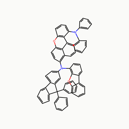 c1ccc(N(c2ccccc2)c2cccc3c2-c2cccc4c(N(c5ccc6c(c5)C(c5ccccc5)(c5ccccc5)c5ccccc5-6)c5cccc6c5oc5ccccc56)ccc(c24)O3)cc1